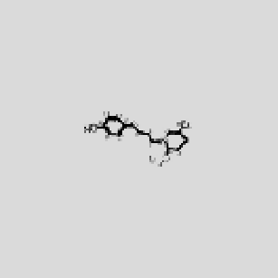 CCC1CCC(C)N(CCCOc2ccc(C#N)cc2)C1